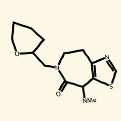 CNC1C(=O)N(CC2CCCCO2)CCc2ncsc21